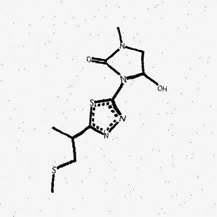 CSCC(C)c1nnc(N2C(=O)N(C)CC2O)s1